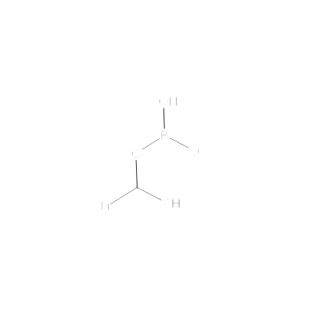 [Li][CH](C)OB(O)O